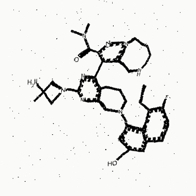 CCc1c(F)ccc2cc(O)cc(N3CCc4c(nc(N5CC(C)(N)C5)nc4-c4c(C(=O)N(C)C)nn5c4CNCCC5)C3)c12